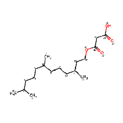 CC(C)CCCC(C)CCCC(C)CCOC(=O)CC(=O)O